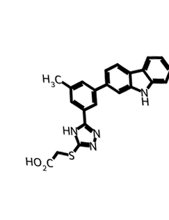 Cc1cc(-c2ccc3c(c2)[nH]c2ccccc23)cc(-c2nnc(SCC(=O)O)[nH]2)c1